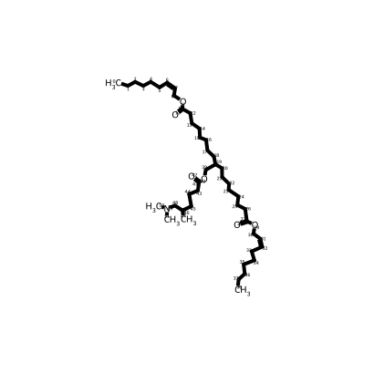 CCCCCC/C=C\COC(=O)CCCCCCCC(CCCCCCCC(=O)OC/C=C\CCCCCC)COC(=O)CCCC(C)CN(C)C